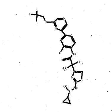 CC(C)(C(=O)Nc1ccc(-c2cncc(OCC(F)(F)F)n2)cc1F)c1csc(N[S+]([O-])C2CC2)n1